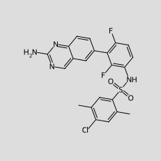 Cc1cc(S(=O)(=O)Nc2ccc(F)c(-c3ccc4nc(N)ncc4c3)c2F)c(C)cc1Cl